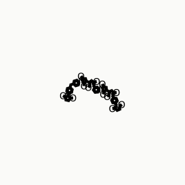 O=C1C=CC(=O)N1c1ccc(Cc2ccc(N3C(=O)C=C(C4=CC(=O)N(c5cccc(N6C(=O)C=C(C7=CC(=O)N(c8ccc(N9C(=O)C=CC9=O)cc8)C7=O)C6=O)c5)C4=O)C3=O)cc2)cc1